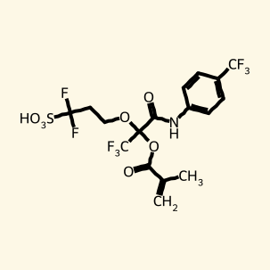 C=C(C)C(=O)OC(OCCC(F)(F)S(=O)(=O)O)(C(=O)Nc1ccc(C(F)(F)F)cc1)C(F)(F)F